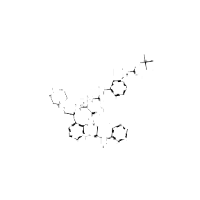 CN(C(=O)CN1C(=O)C(NC(=O)Nc2cccc(NC(=O)OC(C)(C)C)c2)N=C(CN2CCOCC2)c2ccccc21)c1ccccc1